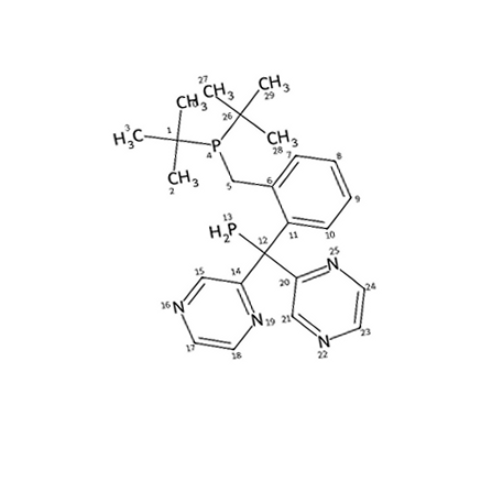 CC(C)(C)P(Cc1ccccc1C(P)(c1cnccn1)c1cnccn1)C(C)(C)C